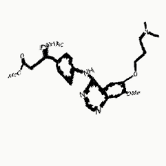 COC(=O)CC(NC(C)=O)c1ccc(Nc2ncnc3cc(OC)c(OCCCN(C)C)cc23)cc1